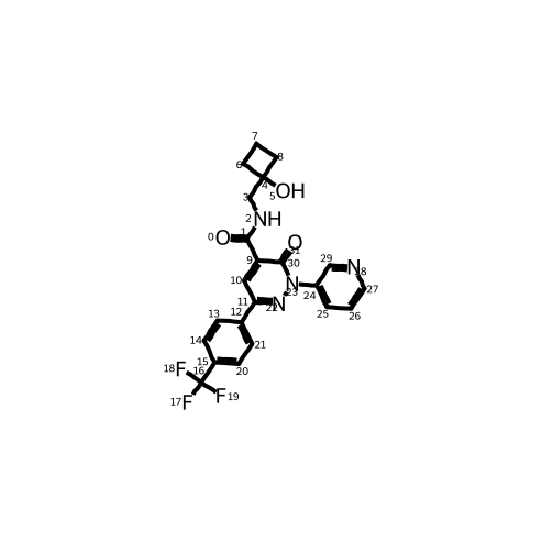 O=C(NCC1(O)CCC1)c1cc(-c2ccc(C(F)(F)F)cc2)nn(-c2cccnc2)c1=O